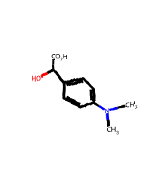 CN(C)c1ccc(C(O)C(=O)O)cc1